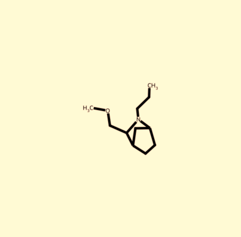 CCCN1C2CCC(C2)C1COC